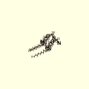 CCCCCCCCCCc1cnc(-c2ccc(OCCC(C)C#N)cc2)nc1.CCCCCCCCCc1cnc(-c2ccc(OCCC(C)C#N)cc2)nc1